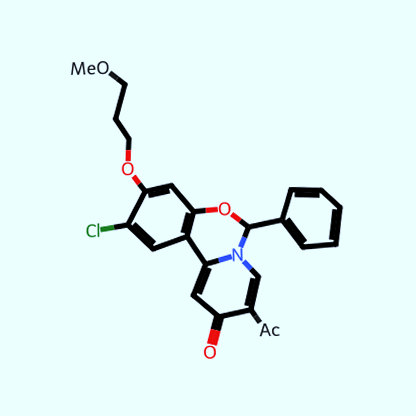 COCCCOc1cc2c(cc1Cl)-c1cc(=O)c(C(C)=O)cn1C(c1ccccc1)O2